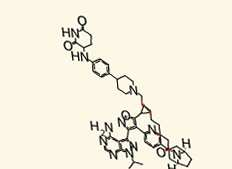 CC(C)n1nc(-c2noc(C3CC3)c2-c2ccc(C3C[C@H]4CC[C@@H](C3)N4C(=O)CCCCCCCN3CCC(c4ccc(NC5CCC(=O)NC5=O)cc4)CC3)cn2)c2c(N)ncnc21